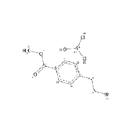 COC(=O)c1ccc(CCBr)cc1.[O-][S+](Cl)Cl